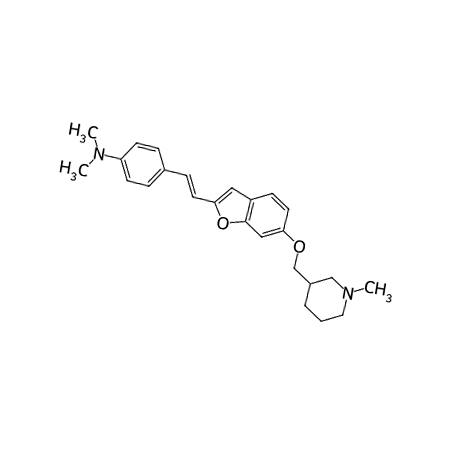 CN1CCCC(COc2ccc3cc(C=Cc4ccc(N(C)C)cc4)oc3c2)C1